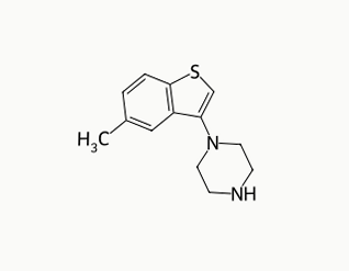 Cc1ccc2scc(N3CCNCC3)c2c1